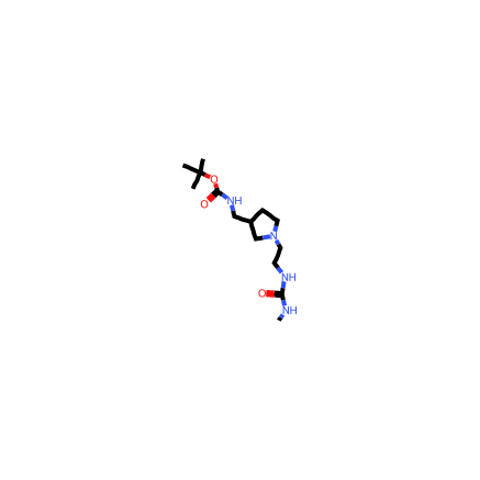 CNC(=O)NCCN1CCC(CNC(=O)OC(C)(C)C)C1